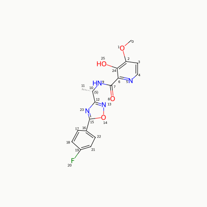 COc1ccnc(C(=O)N[C@@H](C)c2noc(-c3ccc(F)cc3)n2)c1O